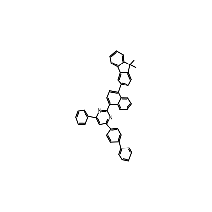 CC1(C)c2ccccc2-c2cc(-c3ccc(-c4nc(-c5ccccc5)cc(-c5ccc(-c6ccccc6)cc5)n4)c4ccccc34)ccc21